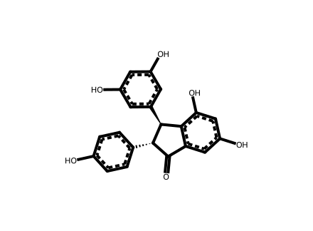 O=C1c2cc(O)cc(O)c2[C@H](c2cc(O)cc(O)c2)[C@H]1c1ccc(O)cc1